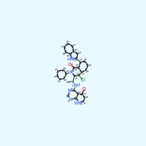 C[C@H](Nc1ncnc2[nH]ccc(=O)c12)c1c(Cl)c2cccc(-c3cc4ccccc4[nH]3)c2c(=O)n1-c1ccccc1